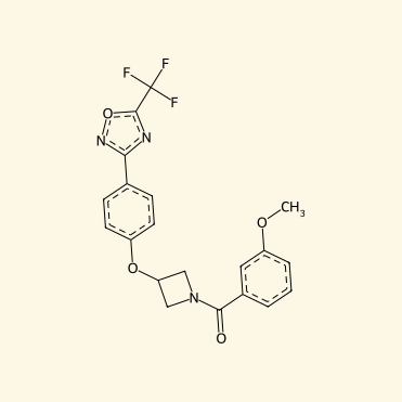 COc1cccc(C(=O)N2CC(Oc3ccc(-c4noc(C(F)(F)F)n4)cc3)C2)c1